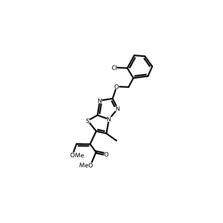 CO/C=C(\C(=O)OC)c1sc2nc(OCc3ccccc3Cl)nn2c1C